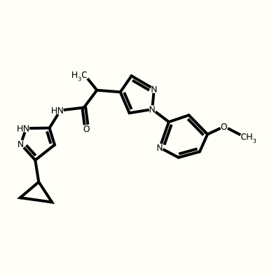 COc1ccnc(-n2cc(C(C)C(=O)Nc3cc(C4CC4)n[nH]3)cn2)c1